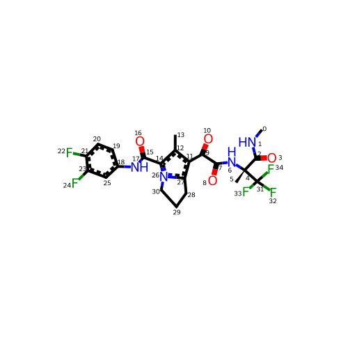 CNC(=O)[C@@](C)(NC(=O)C(=O)c1c(C)c(C(=O)Nc2ccc(F)c(F)c2)n2c1CCC2)C(F)(F)F